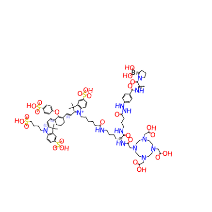 C[C@@H](NC(=O)c1ccc(NNC(=O)CCCNC(=O)[C@@H](CCCCNC(=O)CCCCC[N+]2=C(/C=C/C3=C(Oc4ccc(S(=O)(=O)O)cc4)C(=C/C=C4/N(CCCCS(=O)(=O)O)c5ccc(S(=O)(=O)O)cc5C4(C)C)/CCC3)C(C)(C)c3cc(S(=O)(=O)O)ccc32)NC(=O)CN2CCN(CC(=O)O)CCN(CC(=O)O)CCN(CC(=O)O)CC2)cc1)C(=O)N1CCC[C@H]1B(O)O